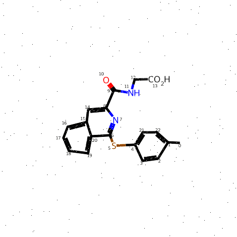 Cc1ccc(Sc2nc(C(=O)NCC(=O)O)cc3ccccc23)cc1